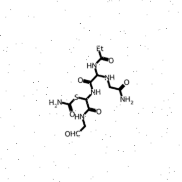 CCC(=O)NC(NCC(N)=O)C(=O)NC(SC(N)=O)C(=O)NCC=O